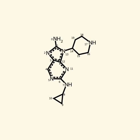 Nc1nc2cnc(NC3CC3)nc2n1C1CCNCC1